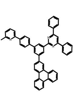 Cc1cccc(-c2ccc(-c3cc(-c4ccc5c6ccccc6c6ccccc6c5c4)cc(-c4nc(-c5ccccc5)cc(-c5ccccc5)n4)c3)cc2)n1